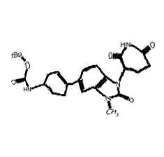 Cn1c(=O)n(C2CCC(=O)NC2=O)c2ccc(C3=CCC(NC(=O)OC(C)(C)C)CC3)cc21